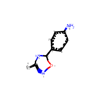 CCC1=NOC(c2ccc(N)cc2)N1